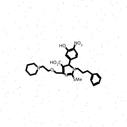 CSC1=NC(COCCN2CCCCC2)=C(C(=O)O)C(c2ccc([N+](=O)[O-])c(O)c2)N1CCCc1ccccc1